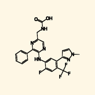 Cn1ccc(-c2cc(Nc3ncc(CNC(=O)O)nc3-c3ccccc3)c(F)cc2C(F)(F)F)n1